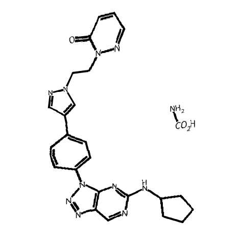 NC(=O)O.O=c1cccnn1CCn1cc(-c2ccc(-n3nnc4cnc(NC5CCCC5)nc43)cc2)cn1